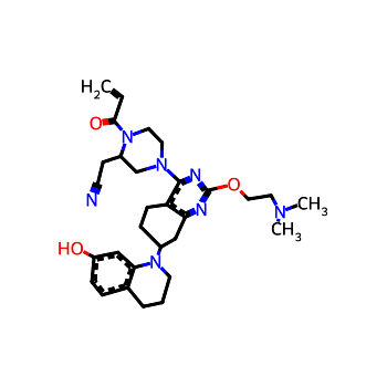 C=CC(=O)N1CCN(c2nc(OCCN(C)C)nc3c2CCC(N2CCCc4ccc(O)cc42)C3)CC1CC#N